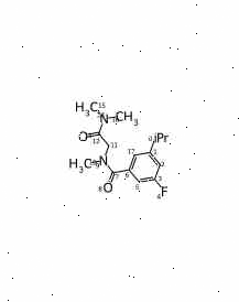 CC(C)c1cc(F)cc(C(=O)N(C)CC(=O)N(C)C)c1